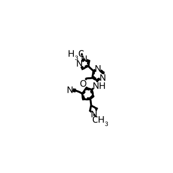 CN1CC(c2cc(C#N)c3c(c2)Nc2ncnc(-c4cnn(C)c4)c2CO3)C1